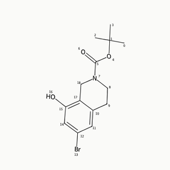 CC(C)(C)OC(=O)N1CCc2cc(Br)cc(O)c2C1